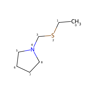 CCSCN1CCCC1